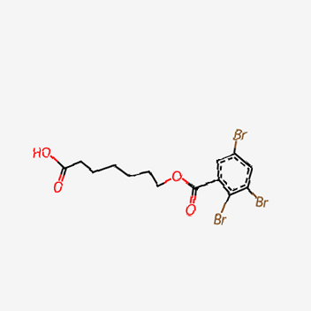 O=C(O)CCCCCCOC(=O)c1cc(Br)cc(Br)c1Br